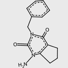 Nn1c2c(c(=O)n(Cc3ccccc3)c1=O)CCC2